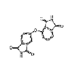 O=C1NC(=O)c2cc(Oc3cccc4c3C(=O)NC4=O)ccc21